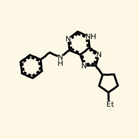 CCC1CCC(c2nc3[nH]cnc(NCc4ccccc4)c-3n2)C1